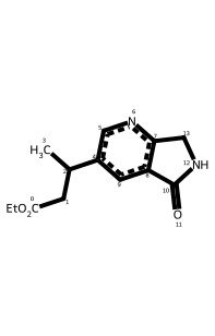 CCOC(=O)CC(C)c1cnc2c(c1)C(=O)NC2